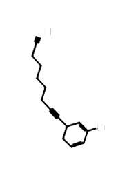 C#CCCCCCC#CC1C=C(Br)C=CC1